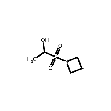 CC(O)S(=O)(=O)N1C[CH]C1